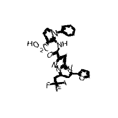 O=C(Nc1c(C(=O)O)ccn1-c1ccccc1)c1cc2nc(-c3ccco3)cc(CC(F)(F)I)n2n1